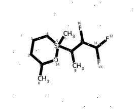 CC1CCC[Si](C)(C(C)C(F)C(F)F)O1